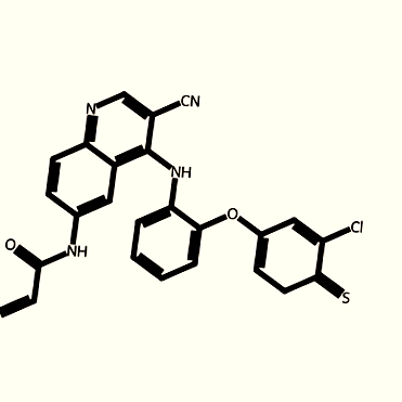 C=CC(=O)Nc1ccc2ncc(C#N)c(Nc3ccccc3OC3=CCC(=S)C(Cl)=C3)c2c1